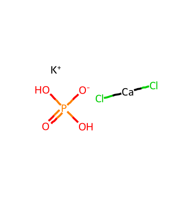 O=P([O-])(O)O.[Cl][Ca][Cl].[K+]